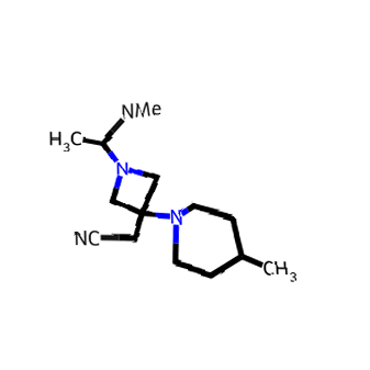 CNC(C)N1CC(CC#N)(N2CCC(C)CC2)C1